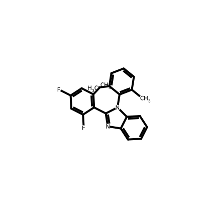 Cc1cc(F)cc(F)c1-c1nc2ccccc2n1-c1c(C)cccc1C